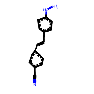 N#Cc1ccc(C=Cc2ccc(NN)cc2)cc1